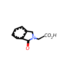 O=C(O)CN1Cc2ccccc2C1=O